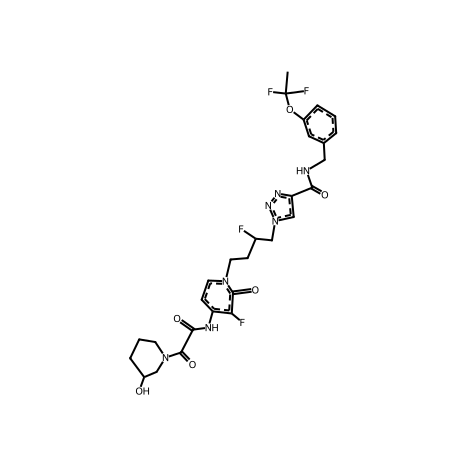 CC(F)(F)Oc1cccc(CNC(=O)c2cn(CC(F)CCn3ccc(NC(=O)C(=O)N4CCCC(O)C4)c(F)c3=O)nn2)c1